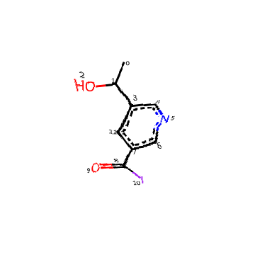 CC(O)c1cncc(C(=O)I)c1